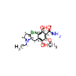 CCN1CCC[C@H]1Cc1c(O)c(OC)c(C(N)=O)c(O)c1Br